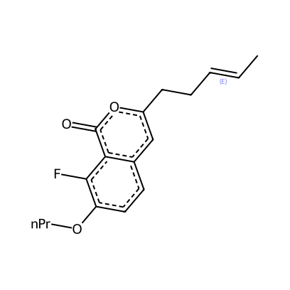 C/C=C/CCc1cc2ccc(OCCC)c(F)c2c(=O)o1